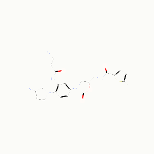 NCCC(=O)Nc1cc(N2CC(CNC(=O)c3ccc(Cl)s3)OC2=O)ccc1N1CCC(N)C1